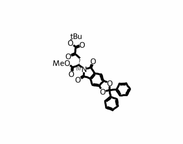 COC(=O)[C@H](CC(=O)C(=O)OC(C)(C)C)N1C(=O)c2cc3c(cc2C1=O)OC(c1ccccc1)(c1ccccc1)O3